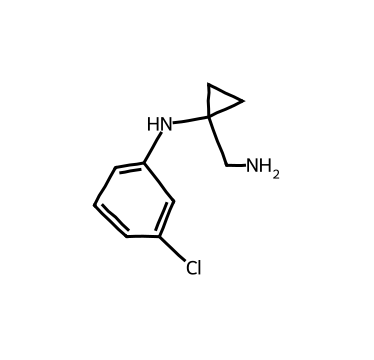 NCC1(Nc2cccc(Cl)c2)CC1